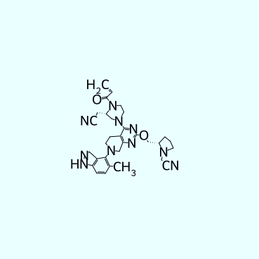 C=CC(=O)N1CCN(c2nc(OC[C@@H]3CCCN3CC#N)nc3c2CCN(c2c(C)ccc4[nH]ncc24)C3)C[C@@H]1CC#N